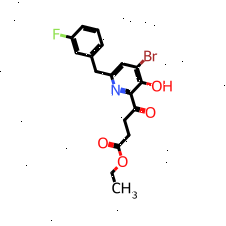 CCOC(=O)CCC(=O)c1nc(Cc2cccc(F)c2)cc(Br)c1O